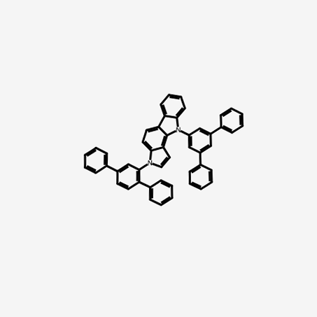 c1ccc(-c2cc(-c3ccccc3)cc(-n3c4ccccc4c4ccc5c(ccn5-c5cc(-c6ccccc6)ccc5-c5ccccc5)c43)c2)cc1